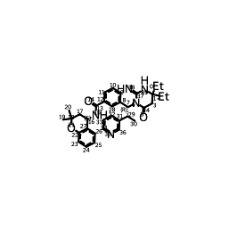 CCC1(CC)CC(=O)N([C@@H](c2cccc(C(=O)N[C@H]3CC(C)(C)Oc4ccccc43)c2)C(C)c2cccnc2)C(=N)N1